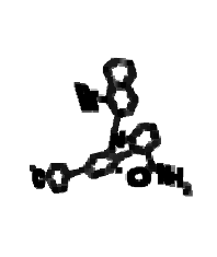 COc1ccc(-c2c[c]c3c4c(C(N)=O)cccc4n(Cc4ccc5ccccc5c4Br)c3c2)cc1